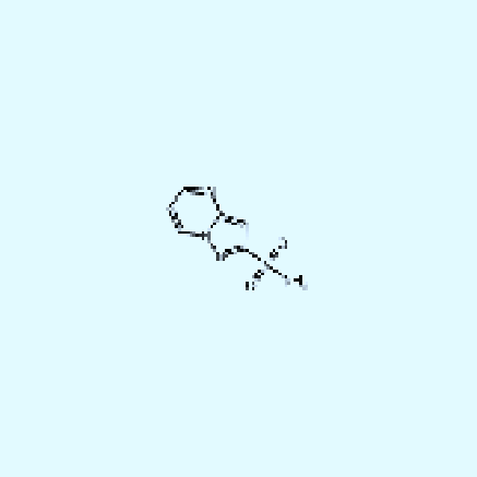 NS(=O)(=O)c1cc2ncccn2n1